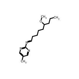 CCCC(CCCC/C=N/c1ncc(C)cn1)OC